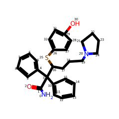 NC(=O)C(c1ccccc1)(c1ccccc1)C(CCCN1CCCC1)Sc1ccc(O)cc1